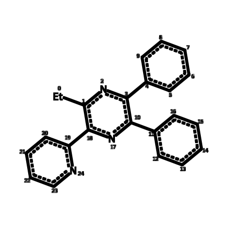 CCc1nc(-c2ccccc2)c(-c2ccccc2)nc1-c1ccccn1